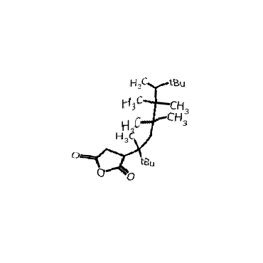 CC(C(C)(C)C)C(C)(C)C(C)(C)CC(C)(C1CC(=O)OC1=O)C(C)(C)C